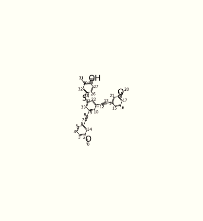 COc1cccc(C#Cc2cc(C#Cc3cccc(OC)c3)cc(Sc3ccc(O)c(C)c3)c2)c1